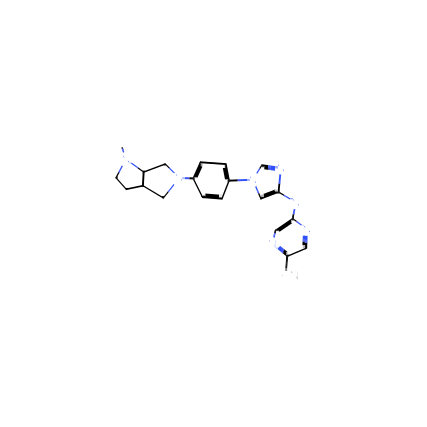 CN1CCC2CN(c3ccc(-n4cnc(Nc5cnc(C#N)cn5)c4)cc3)CC21